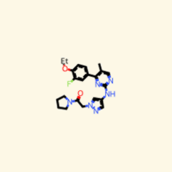 CCOc1ccc(-c2nc(Nc3cnn(CC(=O)N4CCCC4)c3)ncc2C)cc1F